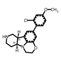 COc1ccc(-c2cc3c4c(c2)[C@H]2CNCC[C@H]2N4CCO3)c(Cl)c1